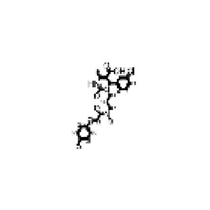 CC1=C(C(=O)O)C(c2cccc(Cl)c2)N(CCCN(C)C(=O)COc2ccc(C)cc2)C(=O)N1